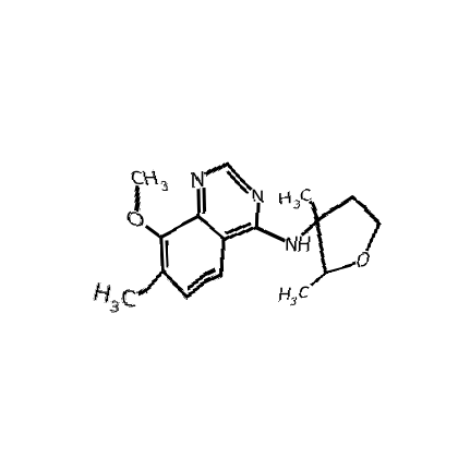 COc1c(C)ccc2c(NC3(C)CCOC3C)ncnc12